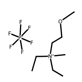 CC[N+](C)(CC)CCOC.F[P-](F)(F)(F)(F)F